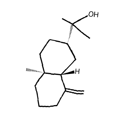 C=C1CCC[C@@]2(C)CC[C@H](C(C)(C)O)C[C@H]12